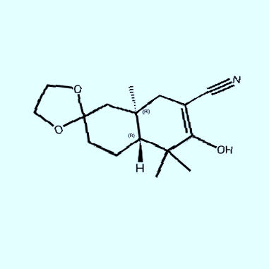 CC1(C)C(O)=C(C#N)C[C@]2(C)CC3(CC[C@@H]12)OCCO3